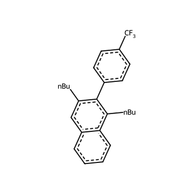 CCCCc1cc2ccccc2c(CCCC)c1-c1ccc(C(F)(F)F)cc1